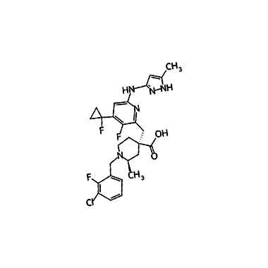 Cc1cc(Nc2cc(C3(F)CC3)c(F)c(C[C@@]3(C(=O)O)CCN(Cc4cccc(Cl)c4F)[C@H](C)C3)n2)n[nH]1